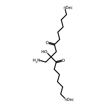 CCCCCCCCCCCCCCCC(=O)CC(O)(CN)C(=O)CCCCCCCCCCCCCCC